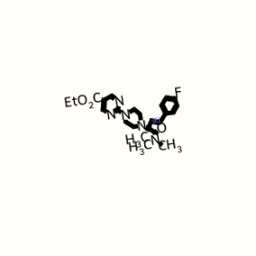 CCOC(=O)c1cnc(N2CCN(C(C)(/C=C/c3ccc(F)cc3)C(=O)N(C)C)CC2)nc1